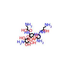 NCCC(O)CNC[C@@H]1CC[C@@H](N)[C@@H](OC2[C@@H](N)C[C@@H](NC(=O)[C@@H](O)CCN)[C@H](O[C@H]3O[C@H](CO)[C@@H](O)[C@H](N)[C@H]3O)[C@H]2O)O1